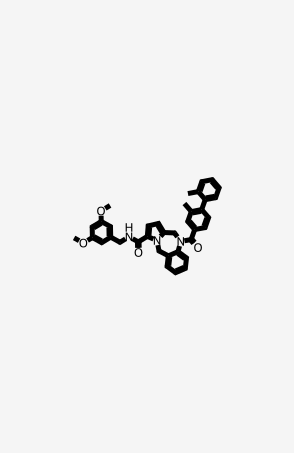 COc1cc(CNC(=O)c2ccc3n2Cc2ccccc2N(C(=O)c2ccc(-c4ccccc4C)c(C)c2)C3)cc(OC)c1